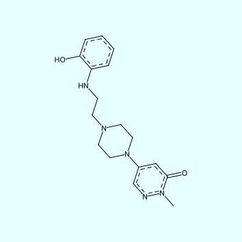 Cn1ncc(N2CCN(CCNc3ccccc3O)CC2)cc1=O